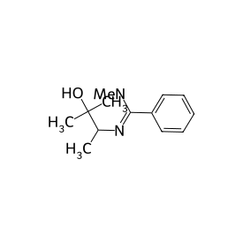 CN/C(=N\C(C)C(C)(C)O)c1ccccc1